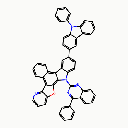 c1ccc(-c2nc(-n3c4ccc(-c5ccc6c(c5)c5ccccc5n6-c5ccccc5)cc4c4c5ccccc5c5c6ncccc6oc5c43)nc3ccccc23)cc1